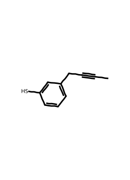 CC#CCc1cccc(S)c1